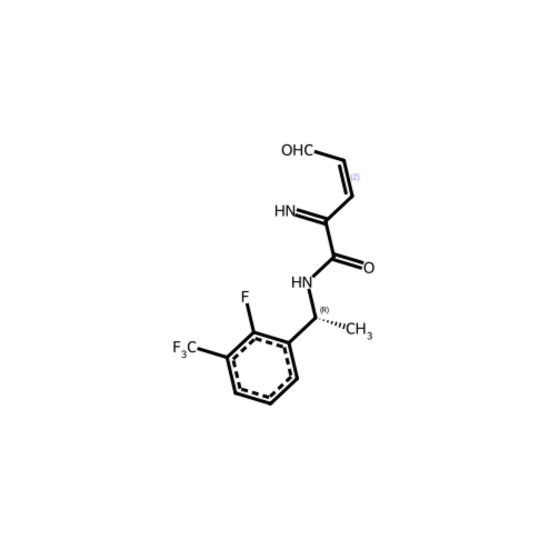 C[C@@H](NC(=O)C(=N)/C=C\C=O)c1cccc(C(F)(F)F)c1F